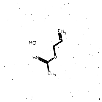 C=CCOC(C)=N.Cl